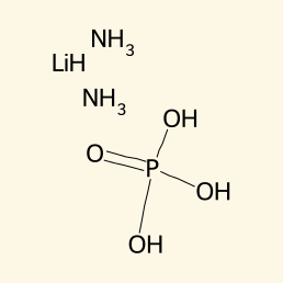 N.N.O=P(O)(O)O.[LiH]